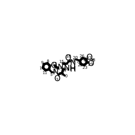 Cc1c(=O)n(Cc2ccccc2)c(=O)n2cc(C(=O)NCc3ccc4c(c3)OCO4)[nH]c12